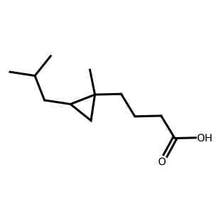 CC(C)CC1CC1(C)CCCC(=O)O